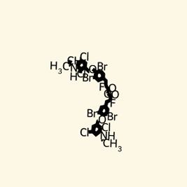 CCNc1cc(Cl)cc(COc2c(Br)cc(CC(F)C(=O)OC(=O)C(F)Cc3cc(Br)c(OCc4cc(Cl)cc(NC(C)C)c4Cl)c(Br)c3)cc2Br)c1Cl